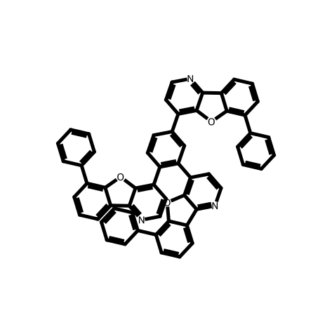 c1ccc(-c2cccc3c2oc2c(-c4ccc(-c5ccnc6c5oc5c(-c7ccccc7)cccc56)c(-c5ccnc6c5oc5c(-c7ccccc7)cccc56)c4)ccnc23)cc1